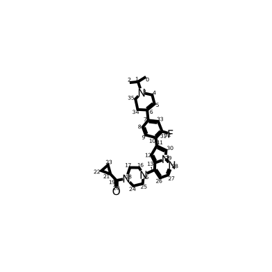 CC(C)N1CC=C(c2ccc(-c3cc4c(N5CCN(C(=O)C6CC6)CC5)ccnn4c3)c(F)c2)CC1